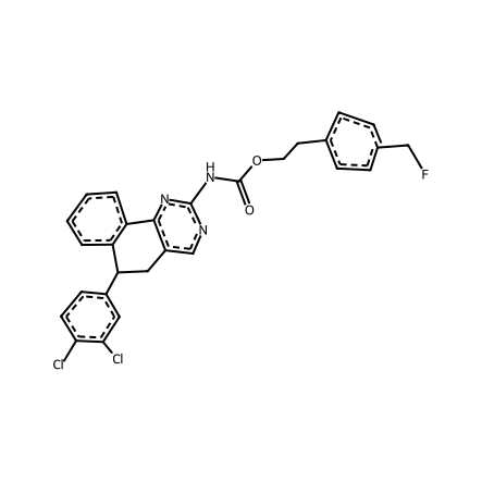 O=C(Nc1ncc2c(n1)-c1ccccc1C(c1ccc(Cl)c(Cl)c1)C2)OCCc1ccc(CF)cc1